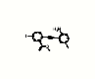 C=C(OC)c1cc(F)ccc1C#Cc1cc(C)ccc1N